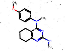 CNc1nc2c(c(N(C)c3ccc(OC)cc3)n1)CCCC2